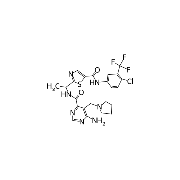 CC(NC(=O)c1ncnc(N)c1CN1CCCC1)c1ncc(C(=O)Nc2ccc(Cl)c(C(F)(F)F)c2)s1